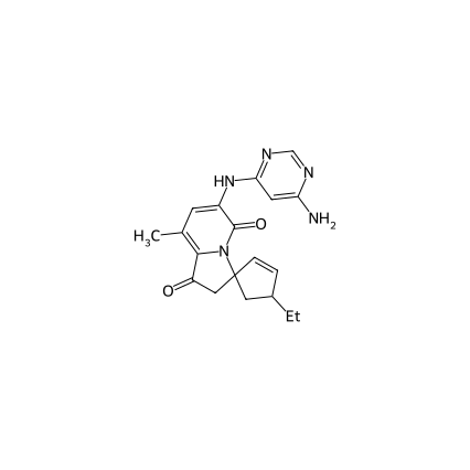 CCC1C=CC2(CC(=O)c3c(C)cc(Nc4cc(N)ncn4)c(=O)n32)C1